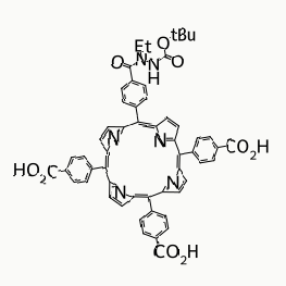 CCN(NC(=O)OC(C)(C)C)C(=O)c1ccc(C2=C3C=CC(=N3)C(c3ccc(C(=O)O)cc3)=C3C=CC(=N3)C(c3ccc(C(=O)O)cc3)=C3C=CC(=N3)C(c3ccc(C(=O)O)cc3)=C3C=CC2=N3)cc1